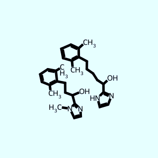 Cc1cccc(C)c1CCC(O)c1nccn1C.Cc1cccc(C)c1CCCCC(O)c1ncc[nH]1